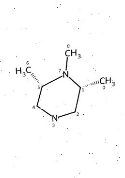 C[C@@H]1C[N]C[C@H](C)N1C